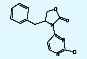 O=C1OCC(Cc2ccccc2)N1c1ccnc(Cl)n1